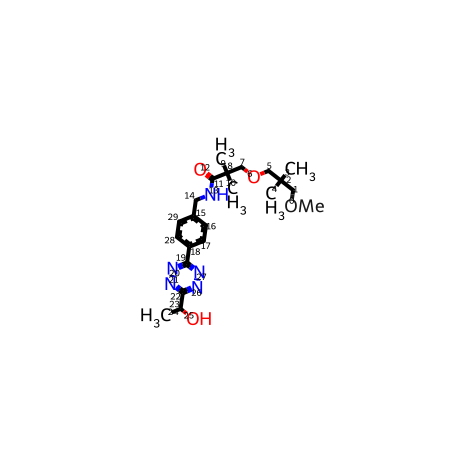 COCC(C)(C)COCC(C)(C)C(=O)NCc1ccc(-c2nnc(C(C)O)nn2)cc1